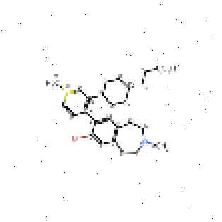 CN1CCc2cc(Br)c(C3=C([C@H]4CC[C@H](CCC(=O)O)CC4)C=S(C)C=C3)cc2CC1